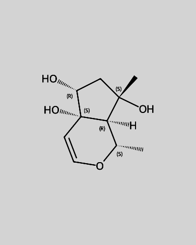 C[C@@H]1OC=C[C@@]2(O)[C@H](O)C[C@](C)(O)[C@@H]12